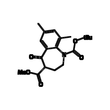 COC(=O)C1CCN(C(=O)OC(C)(C)C)c2c(C)cc(C)cc2C1=O